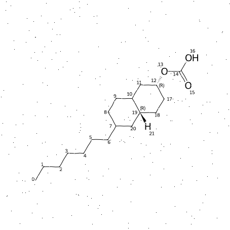 CCCCCCCC1CCC2C[C@H](OC(=O)O)CC[C@@H]2C1